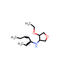 C/C=C(\C=C/CC)NC1COCC1OCC